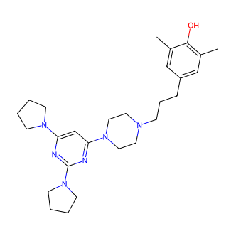 Cc1cc(CCCN2CCN(c3cc(N4CCCC4)nc(N4CCCC4)n3)CC2)cc(C)c1O